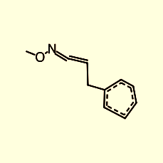 CON=C=CCc1ccccc1